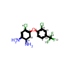 NC1=CC(Cl)=C(Oc2ccc(C(F)(F)F)cc2Cl)CC1N